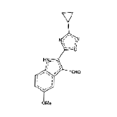 COc1ccc2[nH]c(-c3nc(C4CC4)no3)c(C=O)c2c1